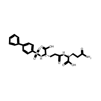 NC(=O)CC[C@H](NC(=O)CC[C@H](NS(=O)(=O)c1ccc(-c2ccccc2)cc1)C(=O)O)C(=O)O